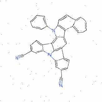 N#Cc1ccc2c3cc4c5c6ccccc6ccc5n(-c5ccccc5)c4c4c5ccc(C#N)cc5n(c2c1)c34